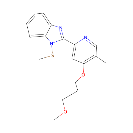 COCCCOc1cc(-c2nc3ccccc3n2SC)ncc1C